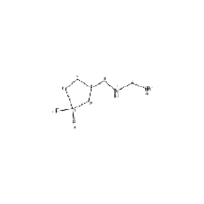 CC(C)CNCC1CCC(F)(F)C1